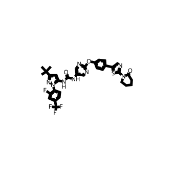 CC(C)(C)c1cc(NC(=O)Nc2cnc(Oc3ccc(-c4cnc(N5CCCCC5=O)s4)cc3)nc2)n(-c2ccc(C(F)(F)F)cc2F)n1